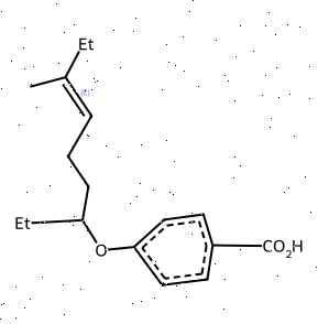 CC/C(C)=C/CCC(CC)Oc1ccc(C(=O)O)cc1